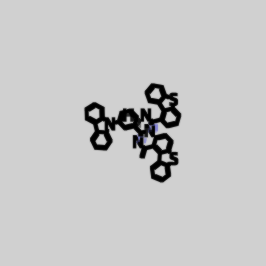 C=C(/N=C(\N=C(/N)c1cccc2sc3ccccc3c12)c1cccc(-n2c3ccccc3c3ccccc32)c1)c1cccc2sc3ccccc3c12